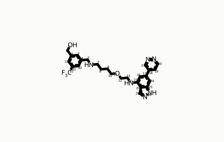 OCc1cc(CNCCCCOCCNc2cc(-c3ccnnc3)cc3[nH]ncc23)cc(C(F)(F)F)c1